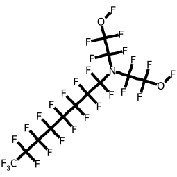 FOC(F)(F)C(F)(F)N(C(F)(F)C(F)(F)OF)C(F)(F)C(F)(F)C(F)(F)C(F)(F)C(F)(F)C(F)(F)C(F)(F)C(F)(F)F